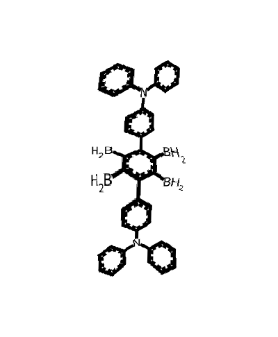 Bc1c(B)c(-c2ccc(N(c3ccccc3)c3ccccc3)cc2)c(B)c(B)c1-c1ccc(N(c2ccccc2)c2ccccc2)cc1